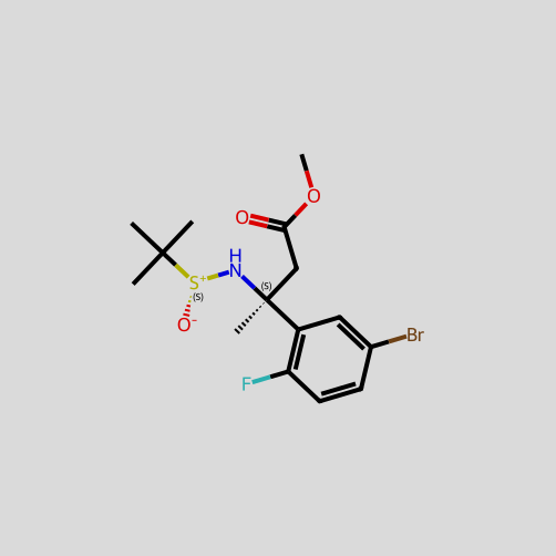 COC(=O)C[C@](C)(N[S@+]([O-])C(C)(C)C)c1cc(Br)ccc1F